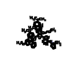 C=C(C)[C@@H]1CC[C@]2(C)S[P@](=S)(O[C@H]3[C@@H](OCCOC)[C@H](n4cnc5c(/N=C6\CCCN6C)ncnc54)O[C@@H]3COC(c3ccccc3)(c3ccc(OC)cc3)c3ccc(OC)cc3)O[C@H]2C1